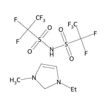 CCN1C=CN(C)C1.O=S(=O)(NS(=O)(=O)C(F)(F)C(F)(F)F)C(F)(F)C(F)(F)F